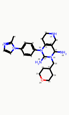 Cc1nccn1-c1ccc(N2C3=C(CNCC3)C(N)N(CC3CCOCC3)C2N)cc1